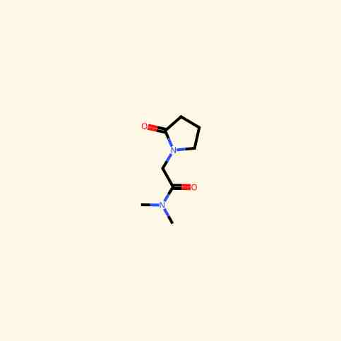 CN(C)C(=O)CN1CCCC1=O